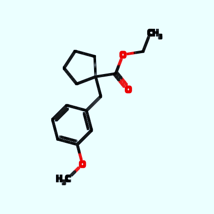 CCOC(=O)C1(Cc2cccc(OC)c2)CCCC1